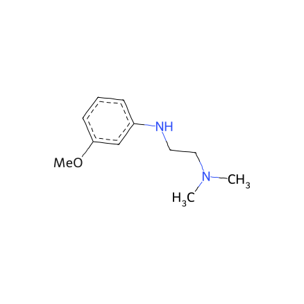 COc1cccc(NCCN(C)C)c1